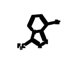 FC(F)(F)c1nnc2c(Br)cccn12